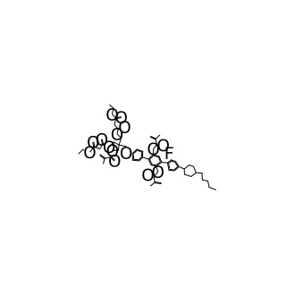 C=C(C)C(=O)OCC(COC(=O)CC(=O)OCC)(COC(=O)CC(=O)OCC)COc1ccc(-c2cc(OC(=O)C(=C)C)c(-c3ccc(C4CCC(CCCCC)CC4)cc3F)cc2OC(=O)C(=C)C)cc1